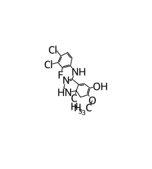 COC1=C(O)C=C2C(Nc3ccc(Cl)c(Cl)c3F)=NCNC2(C)C1